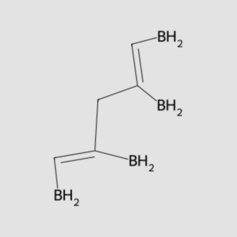 B/C=C(\B)C/C(B)=C/B